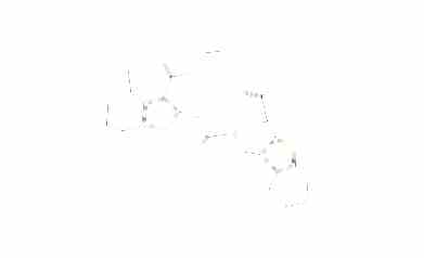 C=C(C)C(F)(F)c1sc2c(c1CNC(=O)Nc1sc3c(c1C(=O)OCC)C(C)CCC3)CCNC2